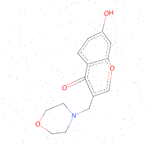 O=c1c(CN2CCOCC2)coc2cc(O)ccc12